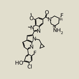 COc1cc(C(=O)N2C[C@H](N)C[C@@H](F)C2)cc2nc(-c3cc4ccc(-c5cc(O)c(Cl)cc5F)nc4n3CC3CC3)n(C)c12